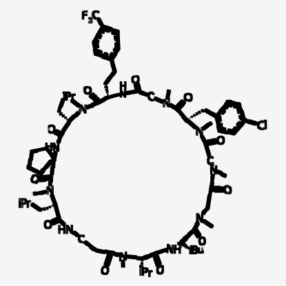 CC[C@H](C)[C@@H]1NC(=O)[C@H](C(C)C)N(C)C(=O)CCNC(=O)[C@H](CC(C)C)N(C)C(=O)C2(CCCC2)NC(=O)[C@H](CC(C)C)N(C)C(=O)[C@H](CCc2ccc(C(F)(F)F)cc2)NC(=O)CN(C)C(=O)[C@H](Cc2ccc(Cl)cc2)N(C)C(=O)CN(C)C(=O)CN(C)C1=O